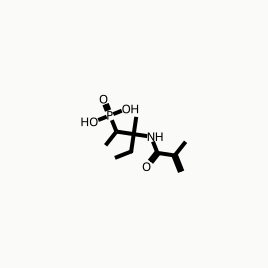 C=C(C)C(=O)NC(C)(CC)C(C)P(=O)(O)O